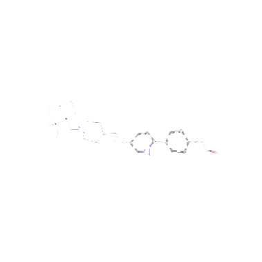 O=CCc1ccc(-c2ccc(OCC3CCN(CC4(C(F)(F)F)CCC4)CC3)cn2)cc1